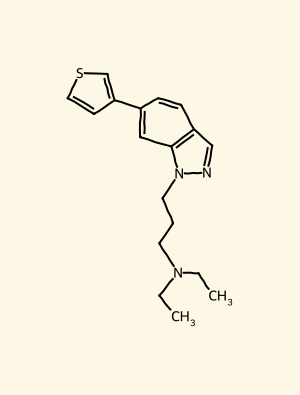 CCN(CC)CCCn1ncc2ccc(-c3ccsc3)cc21